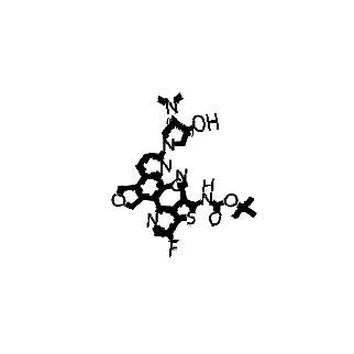 CN(C)[C@H]1CN(c2ccc3c4c(c(-c5ncc(F)c6sc(NC(=O)OC(C)(C)C)c(C#N)c56)c(Cl)c3n2)COC4)C[C@@H]1O